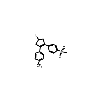 CS(=O)(=O)c1ccc(C2=C(c3ccc(C(F)(F)F)cc3)CC(F)C2)cc1